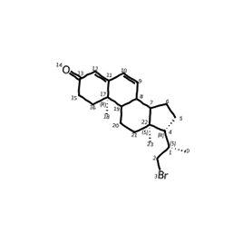 C[C@H](CBr)[C@H]1CCC2C3C=CC4=CC(=O)CC[C@]4(C)C3CC[C@@]21C